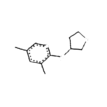 Cc1cnc(NC2CCNC2)c(C)c1